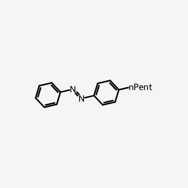 CCCCCc1ccc(N=Nc2ccccc2)cc1